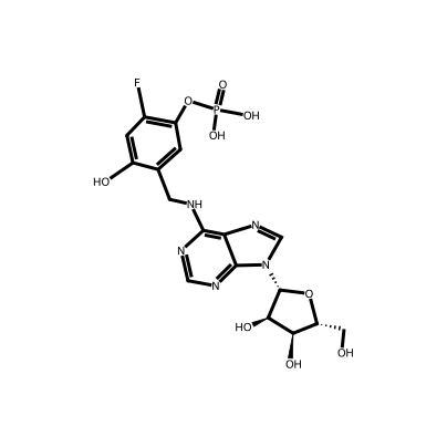 O=P(O)(O)Oc1cc(CNc2ncnc3c2ncn3[C@@H]2O[C@H](CO)[C@@H](O)[C@H]2O)c(O)cc1F